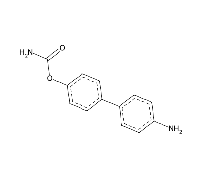 NC(=O)Oc1ccc(-c2ccc(N)cc2)cc1